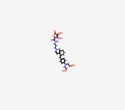 O=C1OC(C(=O)NCCC[n+]2ccc3c(c2)CCC/C3=C\c2ccc(N(CCO)CCO)cc2)C(O)=C1O